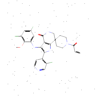 C=CC(=O)N1CCC2(CC1)CNC(=O)c1c2[nH]c(-c2ccncc2F)c1Nc1cc(F)cc(Cl)c1OC